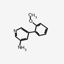 COc1ccccc1-c1cncc(N)c1